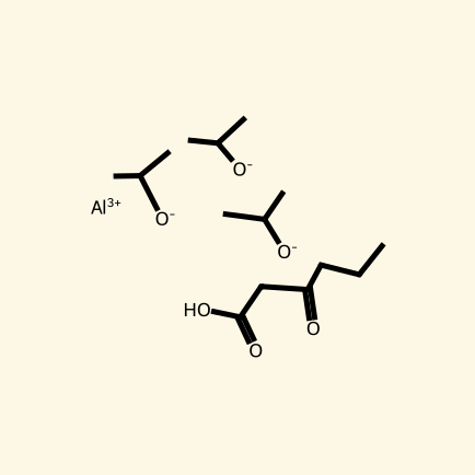 CC(C)[O-].CC(C)[O-].CC(C)[O-].CCCC(=O)CC(=O)O.[Al+3]